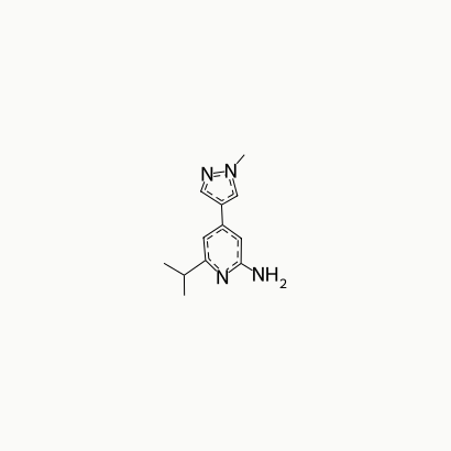 CC(C)c1cc(-c2cnn(C)c2)cc(N)n1